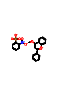 COc1cc(-c2ccccc2)[o+]c2ccccc12.O=[N+]([O-])c1ccccc1S(=O)(=O)[O-]